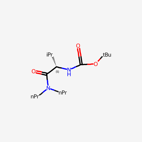 CCCN(CCC)C(=O)[C@@H](NC(=O)OC(C)(C)C)C(C)C